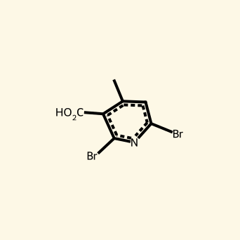 Cc1cc(Br)nc(Br)c1C(=O)O